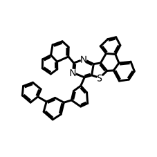 c1ccc(-c2cccc(-c3cccc(-c4nc(-c5cccc6ccccc56)nc5c4sc4c6ccccc6c6ccccc6c54)c3)c2)cc1